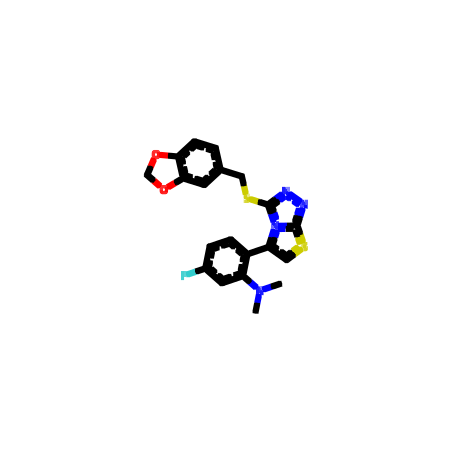 CN(C)c1cc(F)ccc1-c1csc2nnc(SCc3ccc4c(c3)OCO4)n12